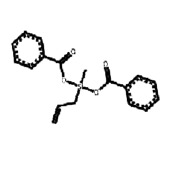 C=CC[Si](C)(OC(=O)c1ccccc1)OC(=O)c1ccccc1